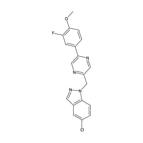 COc1ccc(-c2cnc(Cn3ncc4cc(Cl)ccc43)cn2)cc1F